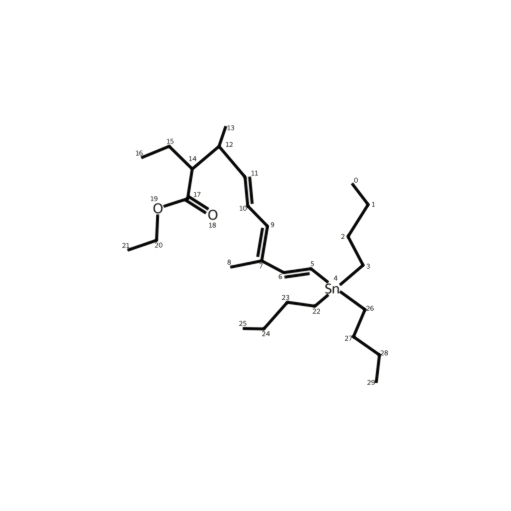 CCC[CH2][Sn]([CH]=CC(C)=CC=CC(C)C(CC)C(=O)OCC)([CH2]CCC)[CH2]CCC